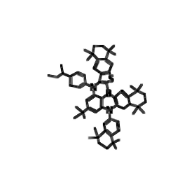 CCC(C)c1ccc(N2c3cc(C(C)(C)C)cc4c3B(C3=C(CC5C(=C3)C(C)(C)CCC5(C)C)N4c3ccc4c(c3)C(C)(C)CCC4(C)C)c3sc4cc5c(cc4c32)C(C)(C)CCC5(C)C)cc1